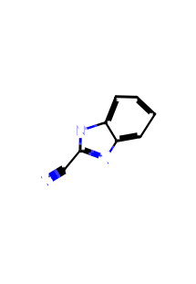 N#CC1=Nc2ccccc2[N]1